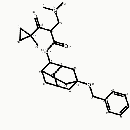 CN(C)CC(C(=O)NC1C2CC3CC1CC(OCc1ccccc1)(C3)C2)C(=O)C1(C)CC1